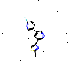 Cc1nc(-c2cncc(-c3ccc(F)nc3)c2)cs1